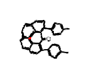 Cc1ccc(-c2ccc3ccccc3c2C(=O)c2c(-c3ccc(C)cc3)ccc3ccccc23)cc1